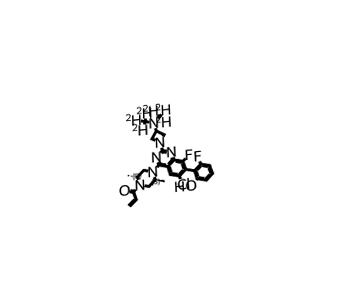 [2H]C([2H])([2H])N(C1CN(c2nc(N3C[C@@H](C)N(C(=O)C=C)C[C@@H]3C)c3cc(Cl)c(-c4c(O)cccc4F)c(F)c3n2)C1)C([2H])([2H])[2H]